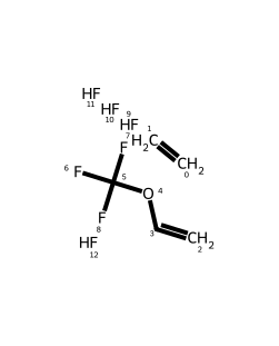 C=C.C=COC(F)(F)F.F.F.F.F